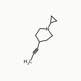 CC#CC1CCN(C2CC2)CC1